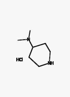 CN(C)C1CCNCC1.Cl